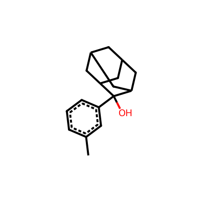 Cc1cccc(C2(O)C3CC4CC(C3)CC2C4)c1